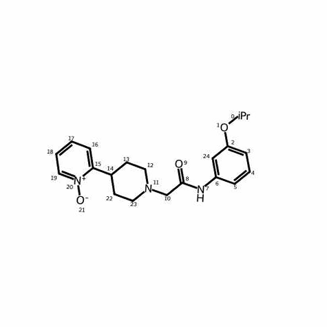 CC(C)Oc1cccc(NC(=O)CN2CCC(c3cccc[n+]3[O-])CC2)c1